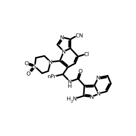 CCCC(NC(=O)c1c(N)nn2cccnc12)c1cc(Cl)c2c(C#N)ncn2c1N1CCS(=O)(=O)CC1